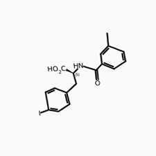 Cc1cccc(C(=O)N[C@@H](Cc2ccc(I)cc2)C(=O)O)c1